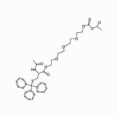 CC(=O)NC(CSC(c1ccccc1)(c1ccccc1)c1ccccc1)C(=O)OCCOCCOCCOCCOC(=O)OC(C)Cl